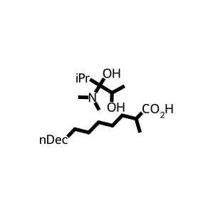 CC(C)C(O)(C(C)O)N(C)C.CCCCCCCCCCCCCCCC(C)C(=O)O